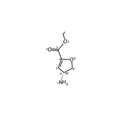 COC(=O)C1=C[C@@H](N)CO1